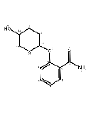 NC(=O)c1ccccc1OC1CCC(O)CC1